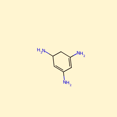 NC1=CC(N)CC(N)=C1